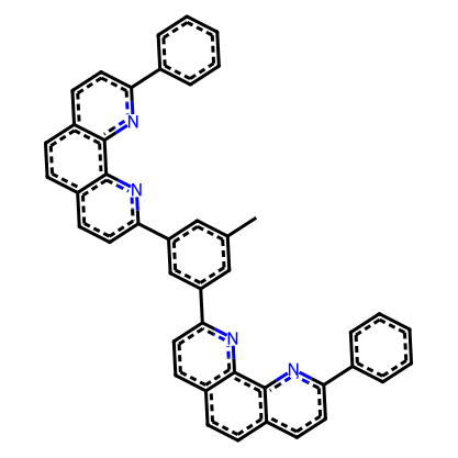 Cc1cc(-c2ccc3ccc4ccc(-c5ccccc5)nc4c3n2)cc(-c2ccc3ccc4ccc(-c5ccccc5)nc4c3n2)c1